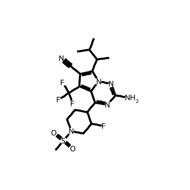 CC(C)C(C)c1c(C#N)c(C(F)(F)F)c2c(C3CCN(S(C)(=O)=O)CC3F)nc(N)nn12